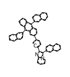 c1ccc2cc(-c3c4ccccc4c(-c4ccc5ccccc5c4)c4cc(-c5ccc(-c6nc7ccccn7c6-c6ccc7ccccc7c6)cc5)ccc34)ccc2c1